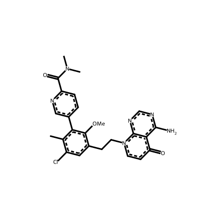 COc1c(CCn2ccc(=O)c3c(N)ncnc32)cc(Cl)c(C)c1-c1ccc(C(=O)N(C)C)nc1